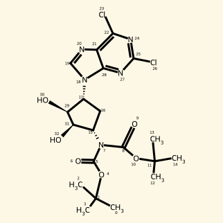 CC(C)(C)OC(=O)N(C(=O)OC(C)(C)C)[C@H]1C[C@@H](n2cnc3c(Cl)nc(Cl)nc32)[C@H](O)[C@@H]1O